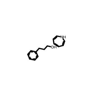 C1=CC=CNC=C1.OCCCc1ccccc1